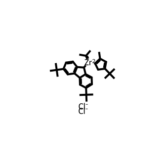 CC1=[C]([Zr+2](=[C](C)C)[CH]2c3ccc(C(C)(C)C)cc3-c3cc(C(C)(C)C)ccc32)CC(C(C)(C)C)=C1.[Cl-].[Cl-]